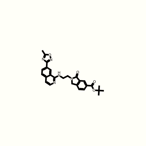 Cc1nc(-c2ccc3ccnc(NCCN4Cc5ccc(C(=O)OC(C)(C)C)cc5C4=O)c3c2)no1